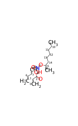 C=CC(=O)O.C=CC=C.CCCCCCC(C)ON=O